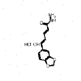 Cl.Cl.NNC(=O)C=CC=Cc1ccc2c(c1)OCO2